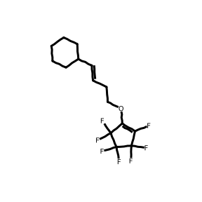 FC1=C(OCCC=CC2CCCCC2)C(F)(F)C(F)(F)C1(F)F